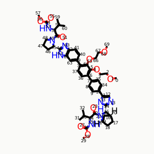 COCCOc1c(-c2ccc(-c3cnc([C@@H]4[C@H]5CC[C@H](C5)N4C(=O)[C@@H](NC(=O)OC)C(C)C)[nH]3)cc2)ccc(-c2ccc3nc([C@@H]4CCCN4C(=O)[C@@H](NC(=O)OC)C(C)C)[nH]c3c2)c1OCCOC